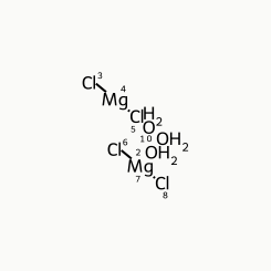 O.O.O.[Cl][Mg][Cl].[Cl][Mg][Cl]